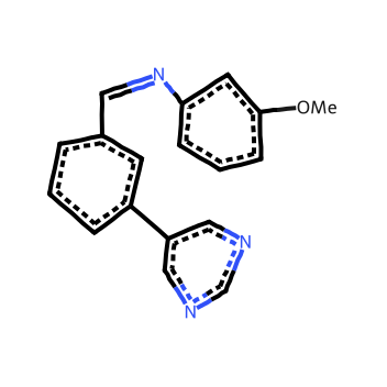 COc1cccc(/N=C\c2cccc(-c3cncnc3)c2)c1